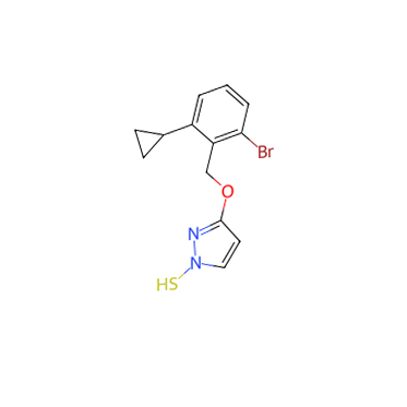 Sn1ccc(OCc2c(Br)cccc2C2CC2)n1